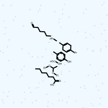 CC1=CCC(C(C)C)=CC1.CCCC.CCCCCC=O.CCCCCCC(=O)O.CCCCCCCCO.CCOC(C)OCC.Cc1ccc(O)cc1